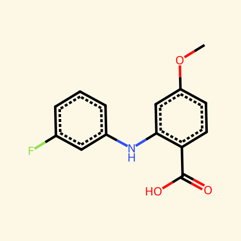 COc1ccc(C(=O)O)c(Nc2cccc(F)c2)c1